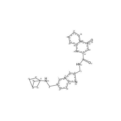 O=C(NCc1cn2cc(CNC34CCC(C3)C4)ccc2n1)c1cc(=O)n2ccccc2n1